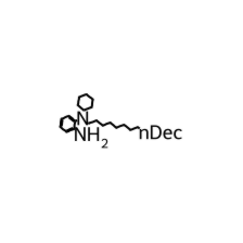 CCCCCCCCCCCCCCCCCCN(c1ccccc1N)C1CCCCC1